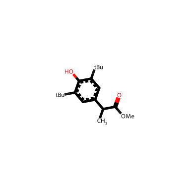 COC(=O)C(C)c1cc(C(C)(C)C)c(O)c(C(C)(C)C)c1